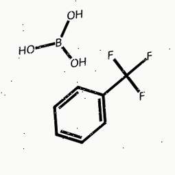 FC(F)(F)c1ccccc1.OB(O)O